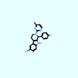 Cc1ccnc(N2CCc3c([nH]c4cc(F)c(Cl)cc34)C2c2ccc(F)cc2)n1